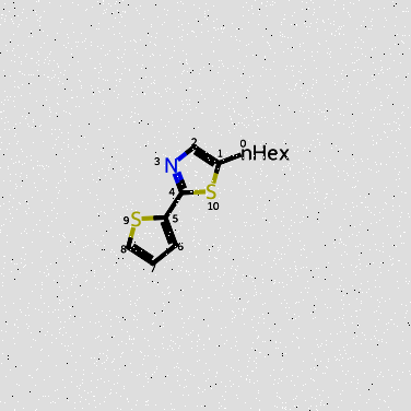 CCCCCCc1cnc(-c2cccs2)s1